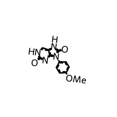 COc1ccc(-n2c(=O)[nH]c3c[nH]c(=O)nc32)cc1